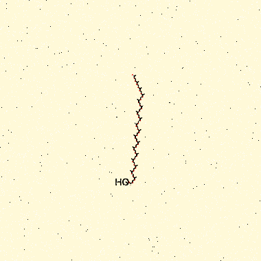 CC(C)=CCC/C(C)=C/CC/C(C)=C/CC/C(C)=C\CC/C(C)=C\CC/C(C)=C\CC/C(C)=C\CC/C(C)=C\CC/C(C)=C\CC/C(C)=C\CC/C(C)=C\CC/C(C)=C\CC/C(C)=C\CC/C(C)=C\CC/C(C)=C\CC/C(C)=C\CC/C(C)=C\CC/C(C)=C\CC[C@H](C)CCO